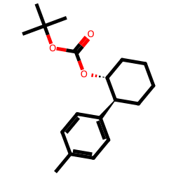 Cc1ccc([C@@H]2CCCC[C@H]2OC(=O)OC(C)(C)C)cc1